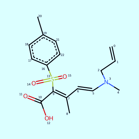 C=CCN(C)C=CC(C)=C(C(=O)O)S(=O)(=O)c1ccc(C)cc1